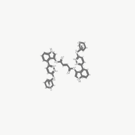 O=C(/C=C/C(=O)Oc1c[nH]c2cccc(-c3ccc(OC4CN5CCC4CC5)nn3)c12)Oc1c[nH]c2cccc(-c3ccc(OC4CN5CCC4CC5)nn3)c12